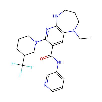 CCN1CCCNc2nc(N3CCCC(C(F)(F)F)C3)c(C(=O)Nc3cccnc3)cc21